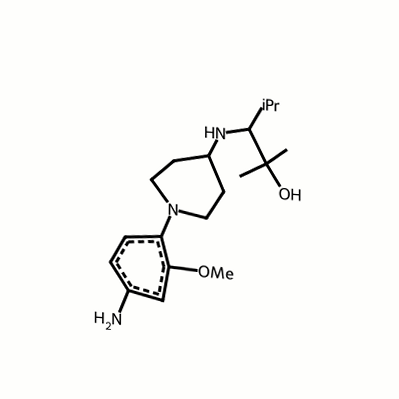 COc1cc(N)ccc1N1CCC(NC(C(C)C)C(C)(C)O)CC1